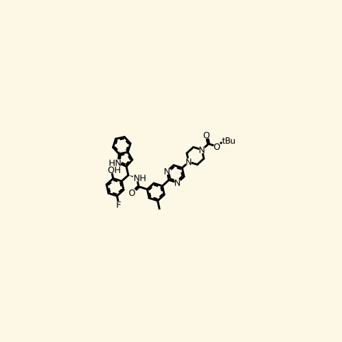 Cc1cc(C(=O)N[C@@H](c2cc3ccccc3[nH]2)c2cc(F)ccc2O)cc(-c2ncc(N3CCN(C(=O)OC(C)(C)C)CC3)cn2)c1